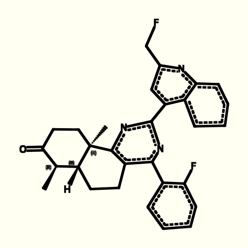 C[C@H]1C(=O)CC[C@@]2(C)c3nc(-c4cc(CF)nc5ccccc45)nc(-c4ccccc4F)c3CC[C@H]12